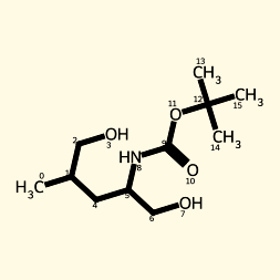 CC(CO)CC(CO)NC(=O)OC(C)(C)C